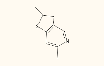 Cc1cc2c(cn1)CC(C)S2